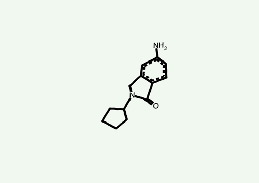 Nc1ccc2c(c1)CN(C1CCCC1)C2=O